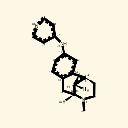 CN1CC[C@]23CCCC[C@H]2[C@H]1Cc1ccc(Nc2ccncc2)cc13